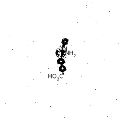 Nc1nc(-c2ccccc2)nc2c1C(=O)N(c1ccc([C@H]3CC[C@H](CC(=O)O)CC3)cc1)CCO2